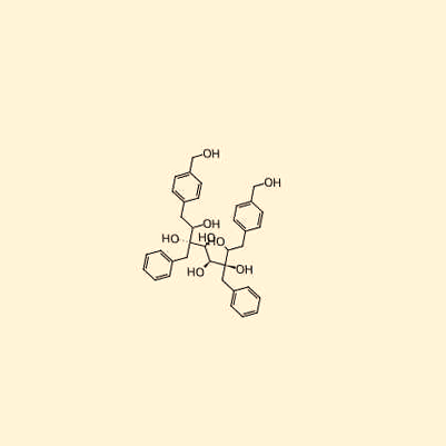 OCc1ccc(CC(O)[C@](O)(Cc2ccccc2)[C@@H](O)[C@H](O)[C@@](O)(Cc2ccccc2)C(O)Cc2ccc(CO)cc2)cc1